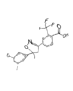 Cc1cc(Cl)cc(C2(C)CC(c3ccc(C(=O)O)c(C(F)(F)F)c3)=NO2)c1